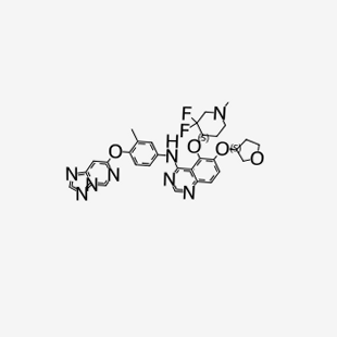 Cc1cc(Nc2ncnc3ccc(O[C@H]4CCOC4)c(O[C@H]4CCN(C)CC4(F)F)c23)ccc1Oc1cc2ncnn2cn1